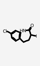 O=C1Nc2cc(Cl)ccc2CCC1I